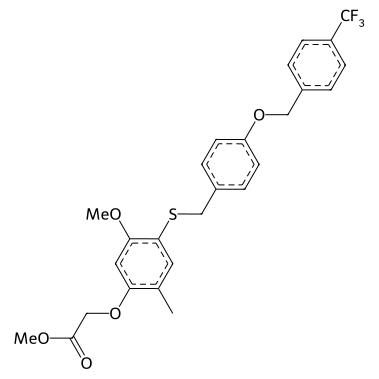 COC(=O)COc1cc(OC)c(SCc2ccc(OCc3ccc(C(F)(F)F)cc3)cc2)cc1C